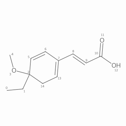 CCC1(OC)C=CC(C=CC(=O)O)=CC1